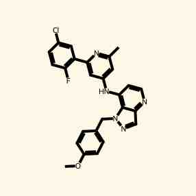 COc1ccc(Cn2ncc3nccc(Nc4cc(C)nc(-c5cc(Cl)ccc5F)c4)c32)cc1